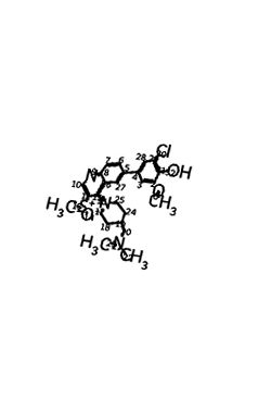 COc1cc(-c2ccc3ncc([S+](C)[O-])c(N4CCC(CN(C)C)CC4)c3c2)cc(Cl)c1O